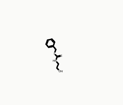 OCCNC(=S)SCc1ccccc1